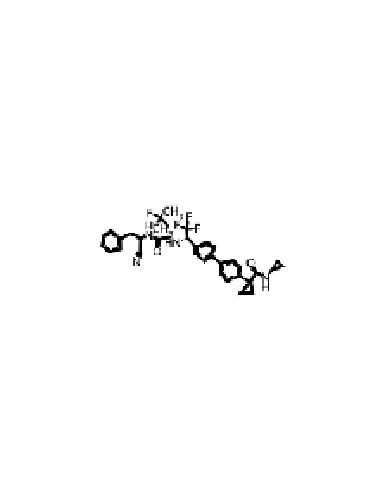 CC(C)(F)C[C@H](N[C@@H](c1ccc(-c2ccc(C3(C(=O)NC4CC4)CC3)cc2)cc1)C(F)(F)F)C(=O)NC(C#N)Cc1ccccc1